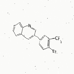 CCc1ccc(-c2cnc3ccccc3c2)cc1C(F)(F)F